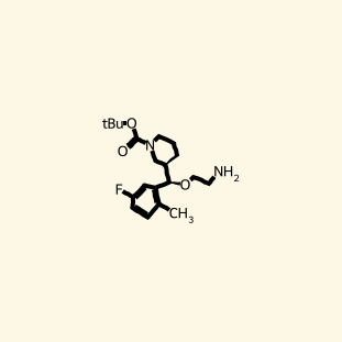 Cc1ccc(F)cc1[C@H](OCCN)[C@@H]1CCCN(C(=O)OC(C)(C)C)C1